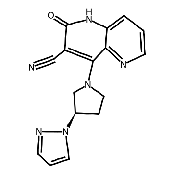 N#Cc1c(N2CC[C@@H](n3cccn3)C2)c2ncccc2[nH]c1=O